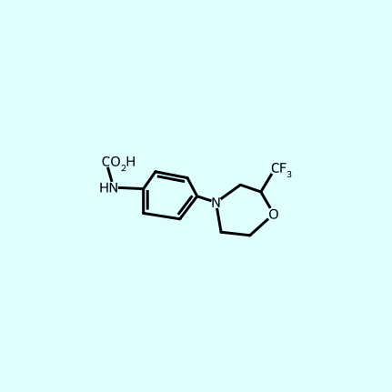 O=C(O)Nc1ccc(N2CCOC(C(F)(F)F)C2)cc1